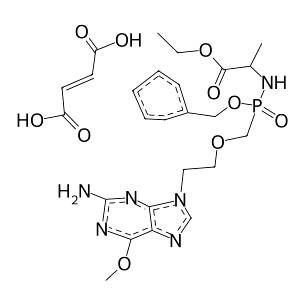 CCOC(=O)C(C)NP(=O)(COCCn1cnc2c(OC)nc(N)nc21)OCc1ccccc1.O=C(O)/C=C/C(=O)O